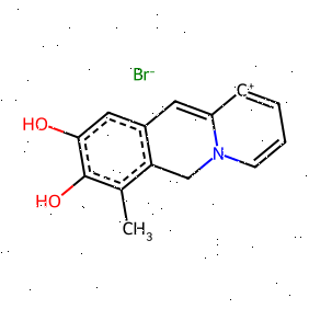 Cc1c(O)c(O)cc2c1CN1C=CC=[C+]C1=C2.[Br-]